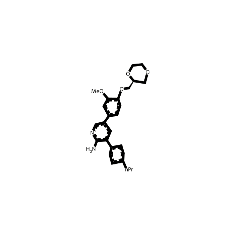 CCCc1ccc(-c2cc(-c3ccc(OC[C@@H]4COCCO4)c(OC)c3)cnc2N)cc1